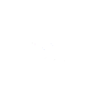 CC1CCC2CN1N(I)C2=O